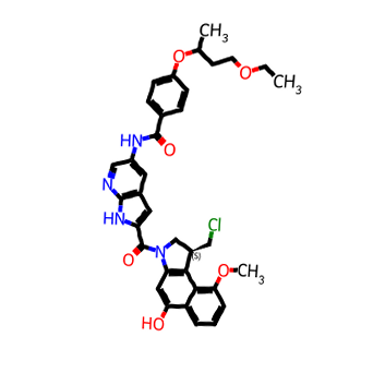 CCOCCC(C)Oc1ccc(C(=O)Nc2cnc3[nH]c(C(=O)N4C[C@@H](CCl)c5c4cc(O)c4cccc(OC)c54)cc3c2)cc1